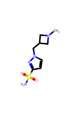 CN1CC(Cn2ccc(S(N)(=O)=O)n2)C1